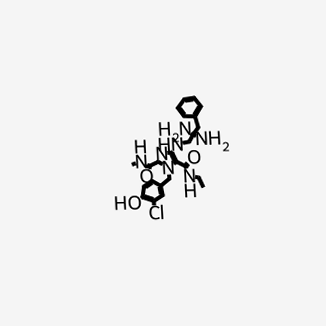 CCNC(=O)c1c(NCC(N)(N)Cc2ccccc2)nc(C(=O)NC)n1Cc1ccc(O)c(Cl)c1